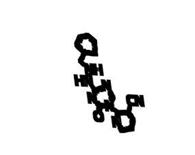 N#Cc1cccnc1-n1cnc(NNCc2ccccc2)nc1=O